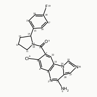 Nc1nc2cc(Cl)c(C(=O)N3CCCC3c3ccc(F)cc3)cc2n2cncc12